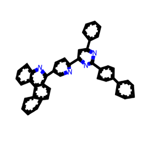 c1ccc(-c2ccc(-c3nc(-c4ccccc4)cc(-c4ccc(-c5nc6ccccc6c6c5ccc5ccccc56)cn4)n3)cc2)cc1